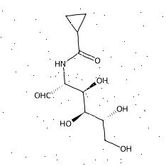 O=C[C@H](NC(=O)C1CC1)[C@@H](O)[C@H](O)[C@H](O)CO